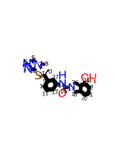 C[C@H](Sc1nncn1C)c1cccc(NC(=O)N2Cc3cccc(O)c3C2)c1